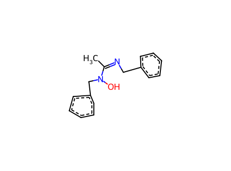 CC(=NCc1ccccc1)N(O)Cc1ccccc1